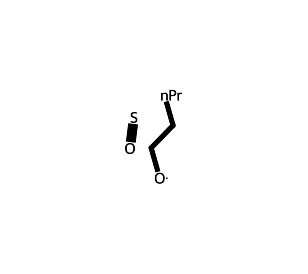 CCCCC[O].O=S